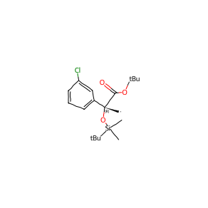 [CH2][C@](O[Si](C)(C)C(C)(C)C)(C(=O)OC(C)(C)C)c1cccc(Cl)c1